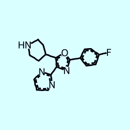 Fc1ccc(-c2nc(-c3ncccn3)c(C3CCNCC3)o2)cc1